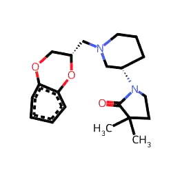 CC1(C)CCN([C@H]2CCCN(C[C@H]3COc4ccccc4O3)C2)C1=O